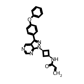 C=CC(=O)N[C@H]1C[C@@H](n2nc(-c3ccc(Oc4ccccc4)cc3)c3cncnc32)C1